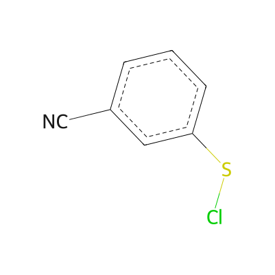 N#Cc1cccc(SCl)c1